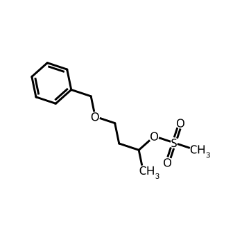 CC(CCOCc1ccccc1)OS(C)(=O)=O